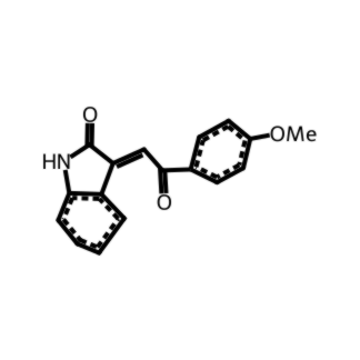 COc1ccc(C(=O)/C=C2/C(=O)Nc3ccccc32)cc1